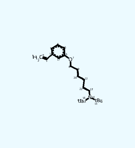 C=Cc1cccc(OCCCCCCN(C(C)(C)C)C(C)(C)C)c1